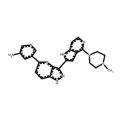 CN1CCN(c2nccc3[nH]c(-c4n[nH]c5ccc(-c6cncc(N)c6)nc45)cc23)CC1